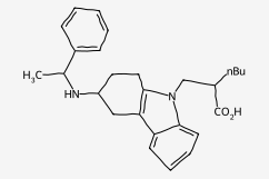 CCCCC(Cn1c2c(c3ccccc31)CC(NC(C)c1ccccc1)CC2)C(=O)O